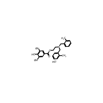 Cc1ccccc1CN(CCOC(=O)c1cc(C(C)(C)C)c(O)c(C(C)(C)C)c1)Cc1ccccc1C.Cl